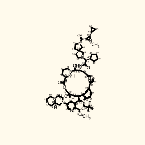 CO[C@@H](C)c1ncc(N2CCN3CCOC[C@@H]3C2)cc1-c1c2c3cc(ccc3n1CC(F)(F)F)-c1csc(n1)C[C@H](NC(=O)[C@H](C1CCCC1)N1CC[C@]3(CCN(C(=O)[C@H]4[C@@H](C5CC5)N4C)C3)C1)C(=O)N1CCC[C@H](N1)C(=O)OCC(C)(C)C2